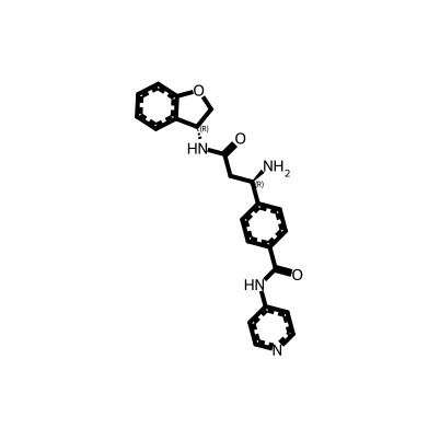 N[C@H](CC(=O)N[C@H]1COc2ccccc21)c1ccc(C(=O)Nc2ccncc2)cc1